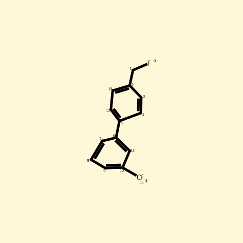 FCc1ccc(-c2[c]ccc(C(F)(F)F)c2)cc1